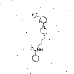 O=C(NCCCCN1CCN(c2cccc(C(F)(F)F)n2)CC1)c1ccccc1